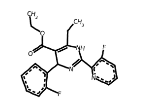 CCOC(=O)C1=C(CC)NC(c2ncccc2F)=NC1c1ccccc1F